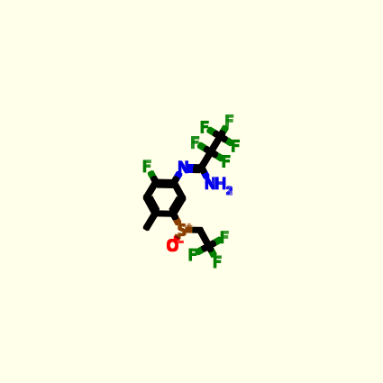 Cc1cc(F)c(/N=C(\N)C(F)(F)C(F)(F)F)cc1[S+]([O-])CC(F)(F)F